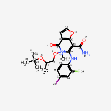 CCC(CO[N+]1(C)C(=O)c2ccoc2C(C(N)=O)=C1Nc1ccc(I)cc1F)O[Si](C)(C)C(C)(C)C